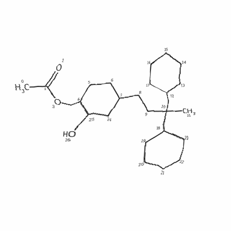 CC(=O)OC1CCC(CCC(C)(C2CCCCC2)C2CCCCC2)CC1O